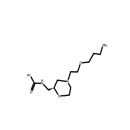 CC(C)C(=O)NC[C@H]1CN(CCOCCCC(C)(C)C)CCO1